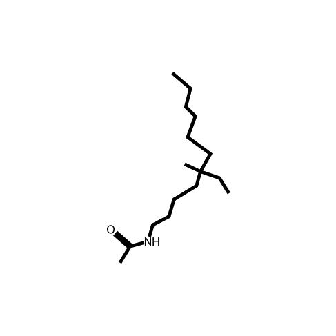 CCCCCCC(C)(CC)CCCCNC(C)=O